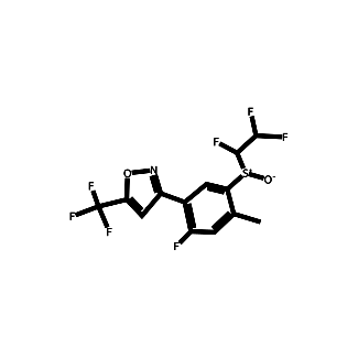 Cc1cc(F)c(-c2cc(C(F)(F)F)on2)cc1[S+]([O-])C(F)C(F)F